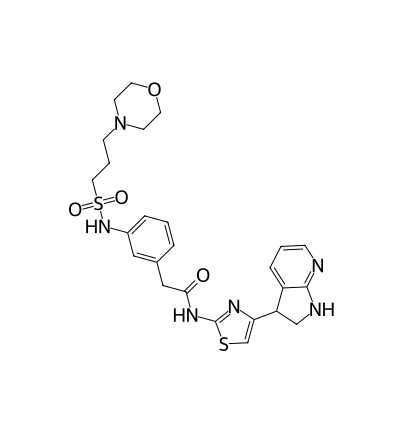 O=C(Cc1cccc(NS(=O)(=O)CCCN2CCOCC2)c1)Nc1nc(C2CNc3ncccc32)cs1